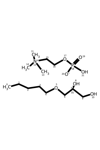 CCCCCOC[C@@H](O)CO.C[N+](C)(C)CCOP(=O)([O-])O